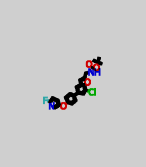 CC(C)(C)OC(=O)NCc1cc2cc(-c3ccc(Oc4ccc(F)nc4)cc3)cc(Cl)c2o1